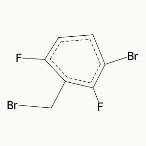 Fc1ccc(Br)c(F)c1CBr